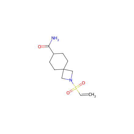 C=CS(=O)(=O)N1CC2(CCC(C(N)=O)CC2)C1